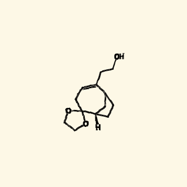 OCCC1=CCC2(OCCO2)[C@H]2CCC1C2